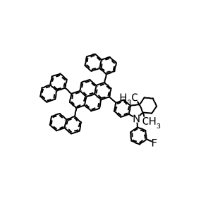 CC12CCCCC1(C)N(c1cccc(F)c1)c1ccc(-c3cc(-c4cccc5ccccc45)c4ccc5c(-c6cccc7ccccc67)cc(-c6cccc7ccccc67)c6ccc3c4c65)cc12